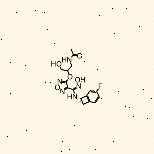 CC(=O)NCC(CO)Oc1nonc1C(=NO)N[C@H]1Cc2ccc(F)cc21